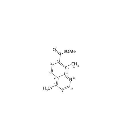 COC(=O)c1ccc2c(C)ccnc2c1C